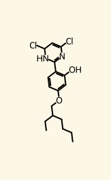 CCCCC(CC)COc1ccc(C2=NC(Cl)=CC(Cl)N2)c(O)c1